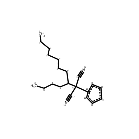 CCCCCCCC(CCCC)C(C#N)(C#N)c1ccccc1